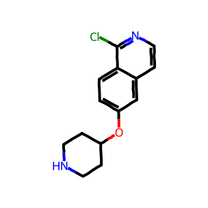 Clc1nccc2cc(OC3CCNCC3)ccc12